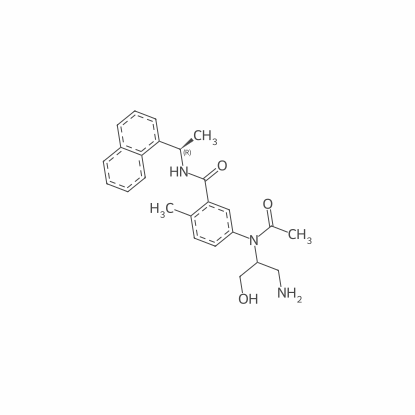 CC(=O)N(c1ccc(C)c(C(=O)N[C@H](C)c2cccc3ccccc23)c1)C(CN)CO